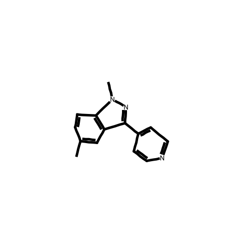 Cc1ccc2c(c1)c(-c1ccncc1)nn2C